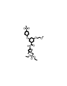 CCOP(=O)(Cn1nc(NC(=O)c2cc(OCCOC)cc(Oc3ccc(S(C)(=O)=O)cc3)c2)cc1C)OCC